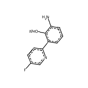 COc1c(N)cccc1-c1ccc(F)cn1